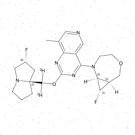 [2H]C([2H])(Oc1nc(N2CCOC[C@H]3[C@H](F)[C@H]32)c2cncc(C)c2n1)[C@@]12CCCN1C[C@H](F)C2